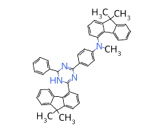 CN(c1ccc(C2=NC(c3ccccc3)NC(c3cccc4c3-c3ccccc3C4(C)C)=N2)cc1)c1cccc2c1-c1ccccc1C2(C)C